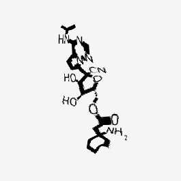 C=C(C)Nc1ncnn2c([C@]3(C#N)O[C@H](COC(=O)CC4(N)CCCCC4)[C@@H](O)[C@H]3O)ccc12